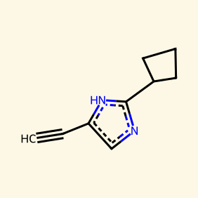 C#Cc1cnc(C2CCC2)[nH]1